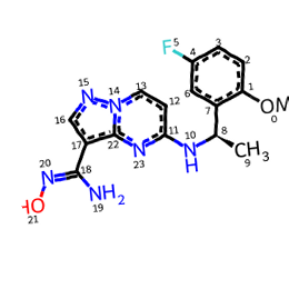 COc1ccc(F)cc1[C@@H](C)Nc1ccn2ncc(/C(N)=N/O)c2n1